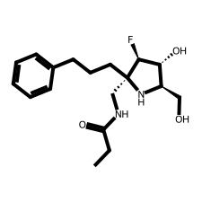 CCC(=O)NC[C@@]1(CCCc2ccccc2)N[C@H](CO)[C@@H](O)[C@@H]1F